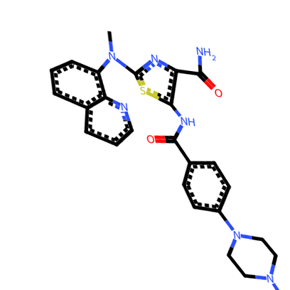 CN1CCN(c2ccc(C(=O)Nc3sc(N(C)c4cccc5cccnc45)nc3C(N)=O)cc2)CC1